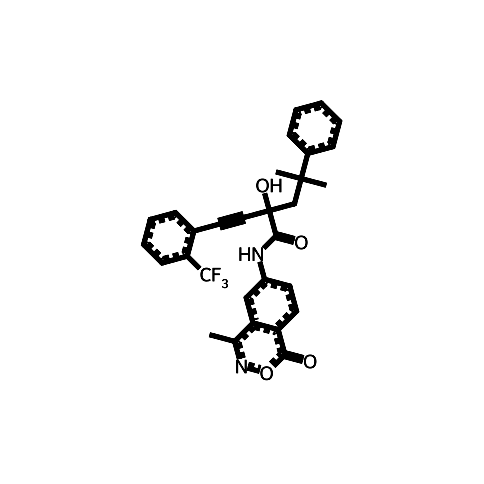 Cc1noc(=O)c2ccc(NC(=O)C(O)(C#Cc3ccccc3C(F)(F)F)CC(C)(C)c3ccccc3)cc12